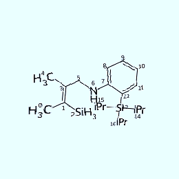 CC([SiH3])=C(C)CNc1ccccc1[Si](C(C)C)(C(C)C)C(C)C